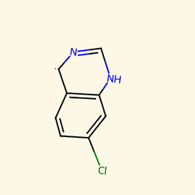 Clc1ccc2c(c1)NC=N[CH]2